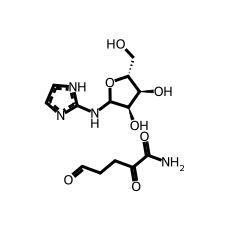 NC(=O)C(=O)CCC=O.OC[C@H]1OC(Nc2ncc[nH]2)[C@H](O)[C@@H]1O